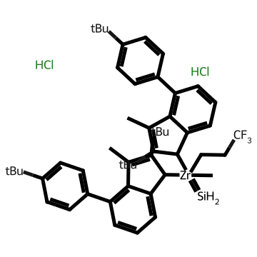 CC1=C(C(C)(C)C)[CH]([Zr]([CH3])(=[SiH2])([CH2]CC(F)(F)F)[CH]2C(C(C)(C)C)=C(C)c3c(-c4ccc(C(C)(C)C)cc4)cccc32)c2cccc(-c3ccc(C(C)(C)C)cc3)c21.Cl.Cl